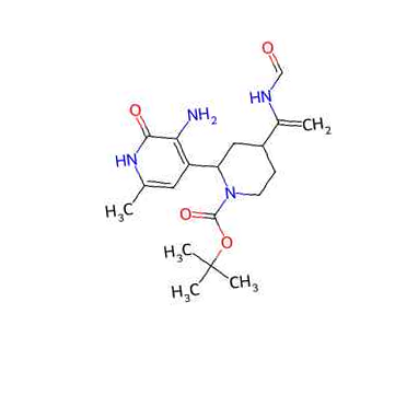 C=C(NC=O)C1CCN(C(=O)OC(C)(C)C)C(c2cc(C)[nH]c(=O)c2N)C1